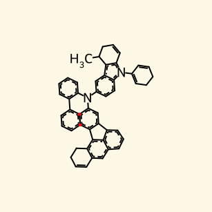 CC1CC=Cc2c1c1cc(N(c3ccc4c(c3)-c3cccc5cc6c(c-4c35)CCC=C6)c3ccccc3-c3ccccc3)ccc1n2C1=CCCC=C1